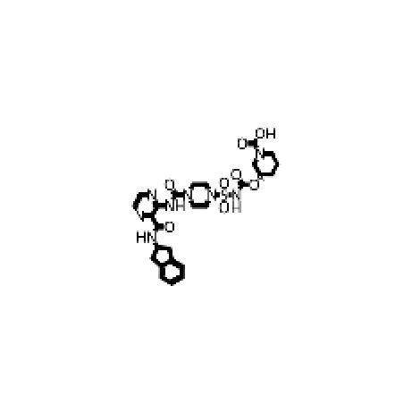 O=C(NS(=O)(=O)N1CCN(C(=O)Nc2nccnc2C(=O)NC2Cc3ccccc3C2)CC1)O[C@H]1CCCN(C(=O)O)C1